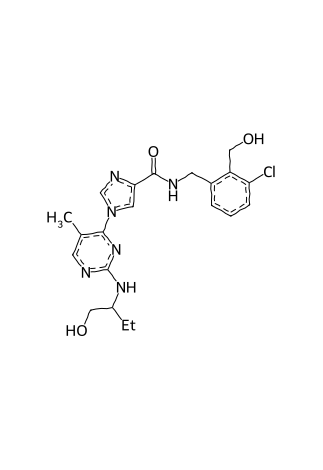 CCC(CO)Nc1ncc(C)c(-n2cnc(C(=O)NCc3cccc(Cl)c3CO)c2)n1